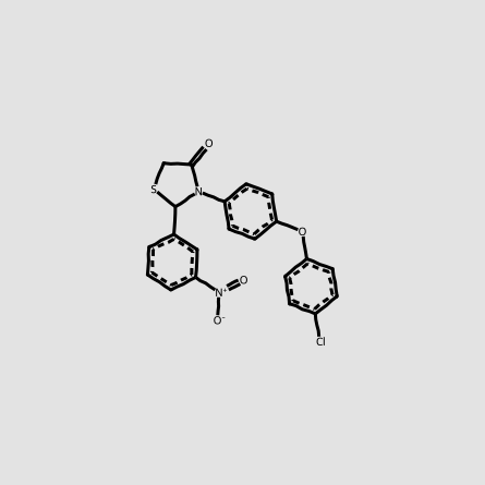 O=C1CSC(c2cccc([N+](=O)[O-])c2)N1c1ccc(Oc2ccc(Cl)cc2)cc1